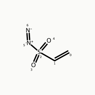 C=CS(=O)(=O)[N+]=[N-]